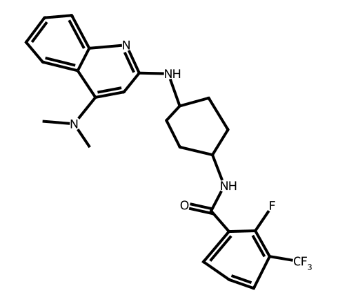 CN(C)c1cc(NC2CCC(NC(=O)c3cccc(C(F)(F)F)c3F)CC2)nc2ccccc12